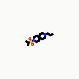 CCCN1CCC2(CC1)CCN(S(=O)(=O)C(C)C)CC2